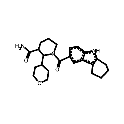 NC(=O)C1CCCN(C(=O)c2ccc3[nH]c4c(c3c2)CCCC4)C1C1CCOCC1